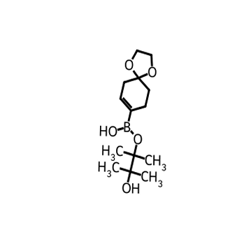 CC(C)(O)C(C)(C)OB(O)C1=CCC2(CC1)OCCO2